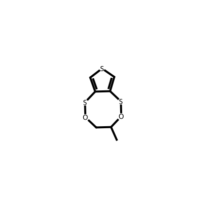 CC1COSc2cscc2SO1